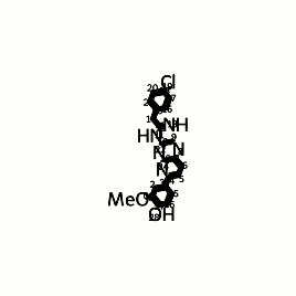 COc1cc(-c2ccc3ncc(NC(=N)Cc4ccc(Cl)cc4)nc3n2)ccc1O